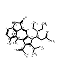 CCN(CC)C(CC(N)=O)n1c(C=C2C(=O)Nc3ccc(Br)cc32)c(C(C)C)c(C(=O)O)c1C(C)C